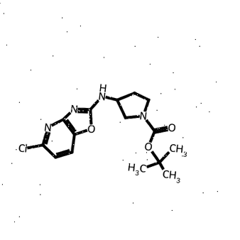 CC(C)(C)OC(=O)N1CCC(Nc2nc3nc(Cl)ccc3o2)C1